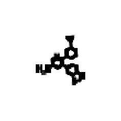 Nc1cnc(-c2cccc(C3CC3)c2)c(-c2ccc3ncsc3c2)c1